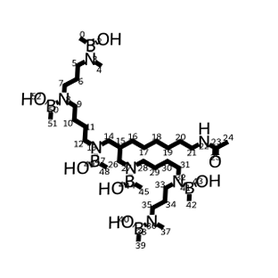 CB(O)N(C)CCCN(CCCCN(CC(CCCCCCNC(C)=O)CN(CCCCN(CCCN(C)B(C)O)B(C)O)B(C)O)B(C)O)B(C)O